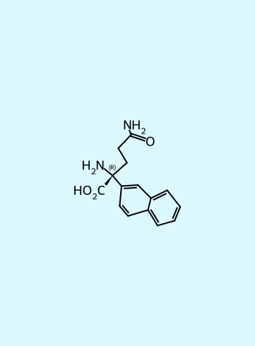 NC(=O)CC[C@](N)(C(=O)O)c1ccc2ccccc2c1